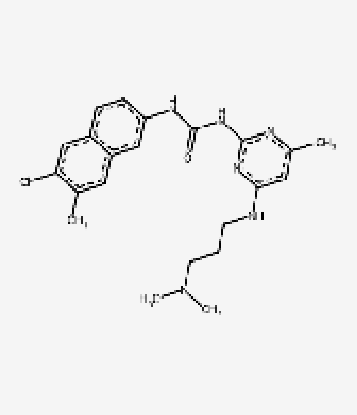 Cc1cc(NCCCN(C)C)nc(NC(=O)Nc2ccc3cc(Cl)c(C)cc3c2)n1